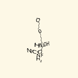 N#Cc1cc(C(CO)NCCCCCCOCCCCc2ccccc2)cc(F)c1N